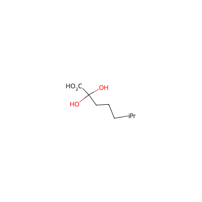 CC(C)CCCC(O)(O)C(=O)O